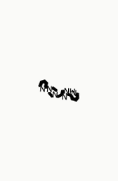 c1ccc(-c2nc(CN3CCN(c4ccccn4)CC3)c[nH]2)nc1